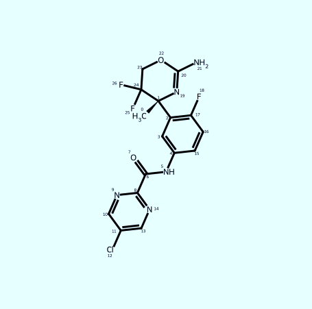 C[C@]1(c2cc(NC(=O)c3ncc(Cl)cn3)ccc2F)N=C(N)OCC1(F)F